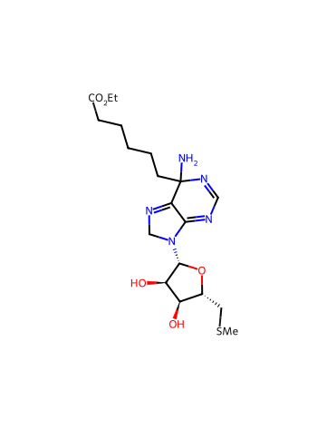 CCOC(=O)CCCCCC1(N)N=CN=C2C1=NCN2[C@@H]1O[C@H](CSC)[C@@H](O)[C@H]1O